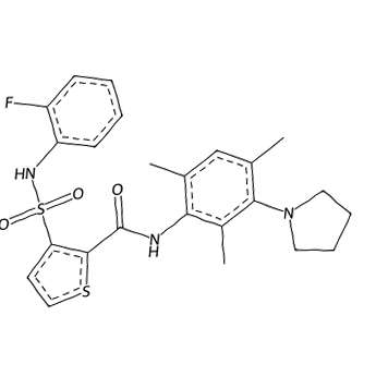 Cc1cc(C)c(N2CCCC2)c(C)c1NC(=O)c1sccc1S(=O)(=O)Nc1ccccc1F